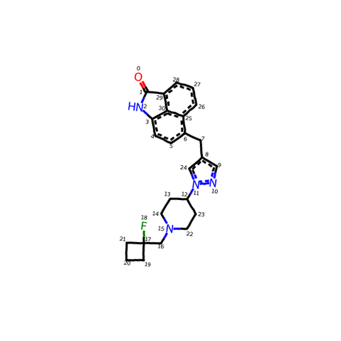 O=C1Nc2ccc(Cc3cnn(C4CCN(CC5(F)CCC5)CC4)c3)c3cccc1c23